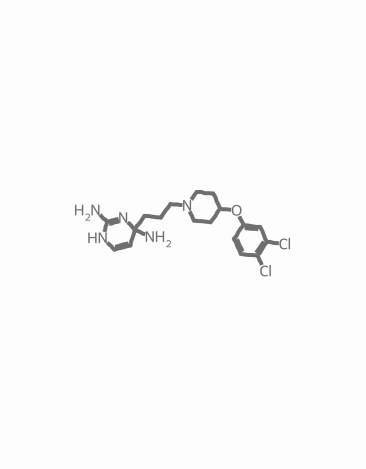 NC1=NC(N)(CCCN2CCC(Oc3ccc(Cl)c(Cl)c3)CC2)C=CN1